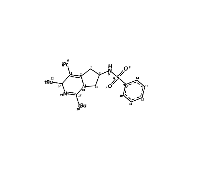 CC(C)C1=C2CC(NS(=O)(=O)c3ccccc3)CN2C(C(C)(C)C)=NC1C(C)(C)C